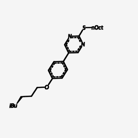 CCCCCCCCSc1ncc(-c2ccc(OCCC[C@H](C)CC)cc2)cn1